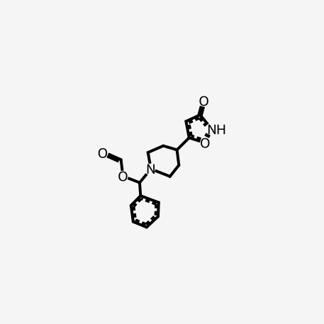 O=COC(c1ccccc1)N1CCC(c2cc(=O)[nH]o2)CC1